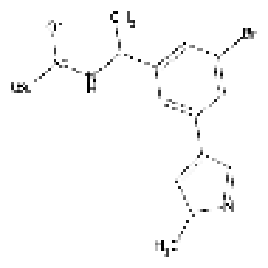 CC(N[S+]([O-])C(C)(C)C)c1cc(Br)cc(-c2cnn(C)c2)c1